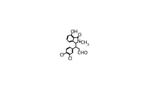 CN1C(=O)c2c(O)cccc2C1C(CC=O)c1ccc(Cl)c(Cl)c1